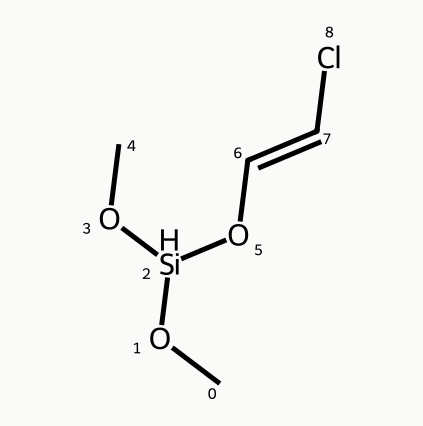 CO[SiH](OC)OC=CCl